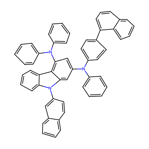 c1ccc(N(c2ccc(-c3cccc4ccccc34)cc2)c2cc(N(c3ccccc3)c3ccccc3)c3c4ccccc4n(-c4ccc5ccccc5c4)c3c2)cc1